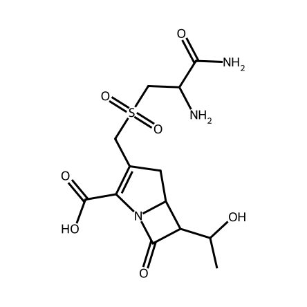 CC(O)C1C(=O)N2C(C(=O)O)=C(CS(=O)(=O)CC(N)C(N)=O)CC12